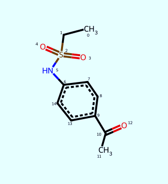 CCS(=O)(=O)Nc1ccc(C(C)=O)cc1